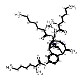 C=C1/C=C\C(NC(=O)[C@@H](N)CCCCN)=C/C23c4cc(NC(=O)[C@@H](N)CCCCN)ccc4C1C1=CC=C(NC(=O)[C@@H](N)CCCCN)C2C13